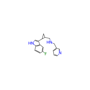 Fc1ccc2[nH]cc(C3CC3CNCc3cccnc3)c2c1